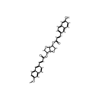 COc1ccc2cc(/C=C/C(=O)OC3COC4C(OC(=O)/C=C/c5ccc6cc(O)ccc6c5)COC34)ccc2c1